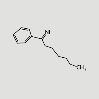 CCCCCCC(=N)c1ccccc1